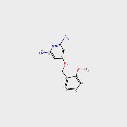 Nc1cc(OCc2ccccc2OC(F)(F)F)cc(N)n1